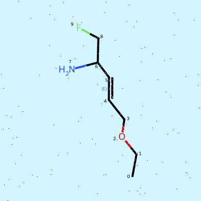 CCOC/C=C/C(N)CF